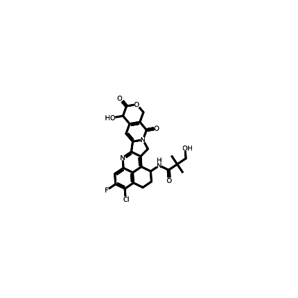 CC(C)(CO)C(=O)NC1CCc2c(Cl)c(F)cc3nc4c(c1c23)Cn1c-4cc2c(c1=O)COC(=O)C2O